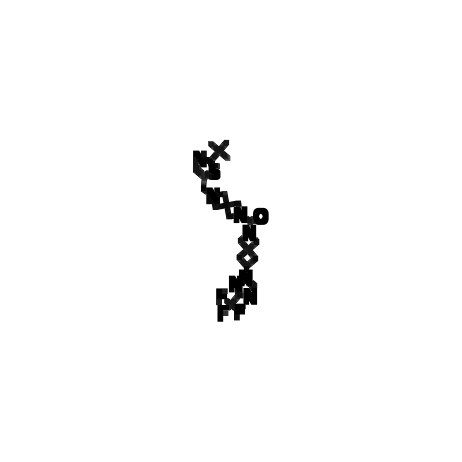 CC(C)(C)c1ncc(CN2CC3(C2)CN(C(=O)N2CC4(CC(n5cnc(C(F)(F)F)n5)C4)C2)C3)s1